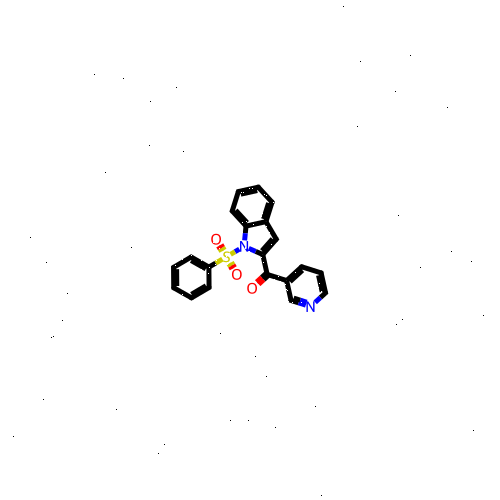 O=C(c1cccnc1)c1cc2ccccc2n1S(=O)(=O)c1ccccc1